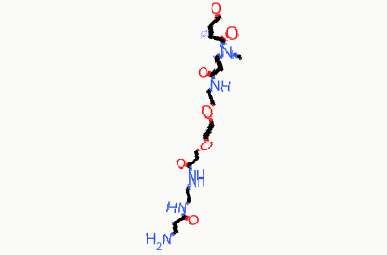 CN(CCC(=O)NCCOCCOCCC(=O)NCCNC(=O)CCN)C(=O)/C=C\C=O